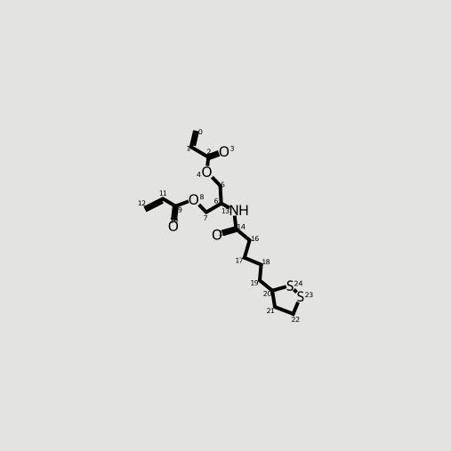 C=CC(=O)OCC(COC(=O)C=C)NC(=O)CCCCC1CCSS1